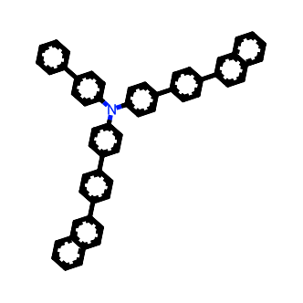 c1ccc(-c2ccc(N(c3ccc(-c4ccc(-c5ccc6ccccc6c5)cc4)cc3)c3ccc(-c4ccc(-c5ccc6ccccc6c5)cc4)cc3)cc2)cc1